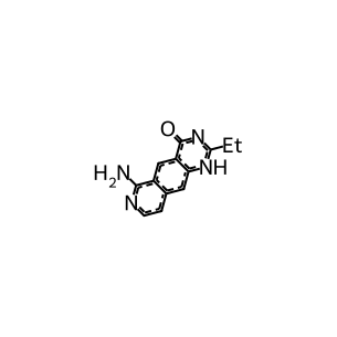 CCc1nc(=O)c2cc3c(N)nccc3cc2[nH]1